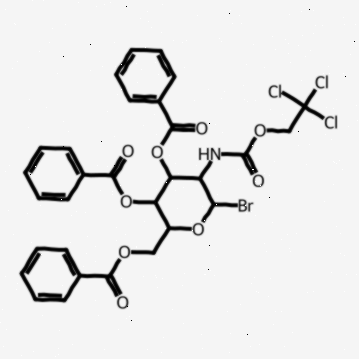 O=C(NC1C(Br)OC(COC(=O)c2ccccc2)C(OC(=O)c2ccccc2)C1OC(=O)c1ccccc1)OCC(Cl)(Cl)Cl